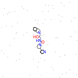 O=C(NCC(O)CN1CCc2ccccc2C1)N1CCCC(c2cccnc2)C1